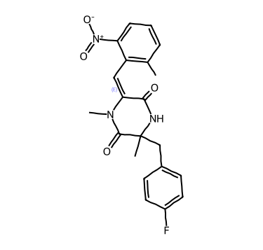 Cc1cccc([N+](=O)[O-])c1/C=C1\C(=O)NC(C)(Cc2ccc(F)cc2)C(=O)N1C